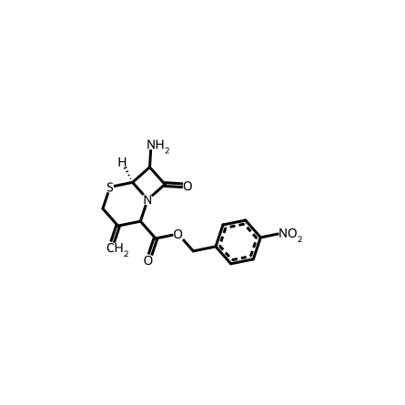 C=C1CS[C@H]2C(N)C(=O)N2C1C(=O)OCc1ccc([N+](=O)[O-])cc1